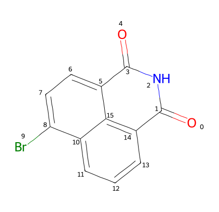 O=C1NC(=O)c2ccc(Br)c3cccc1c23